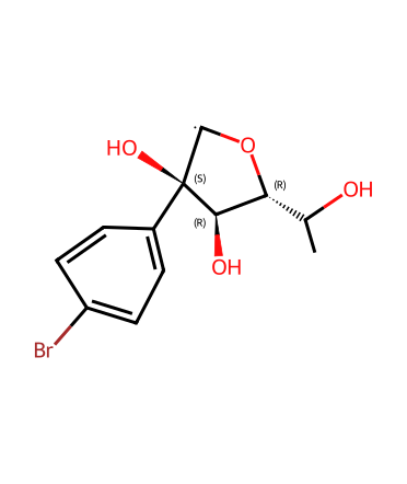 CC(O)[C@H]1O[CH][C@@](O)(c2ccc(Br)cc2)[C@@H]1O